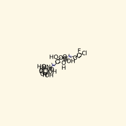 C/C(=C\c1ccc(O[C@@H]2O[C@H](/C(C)=C/COc3ccc(Cl)c(F)c3)[C@@H](O)[C@@H]2O)c(O)c1)C(=O)N[C@@H]1[C@H](O)[C@@H](O)[C@H]2OCO[C@H]2[C@@H]1O